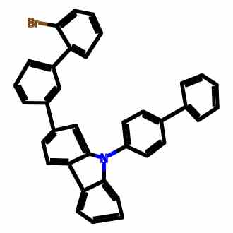 Brc1ccccc1-c1cccc(-c2ccc3c4ccccc4n(-c4ccc(-c5ccccc5)cc4)c3c2)c1